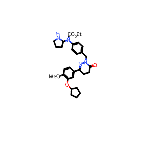 CCOC(=O)N(c1ccc(CN2N=C(c3ccc(OC)c(OC4CCCC4)c3)CCC2=O)cc1)C1CCCN1